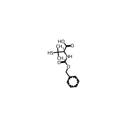 CC(C)(S)C(NC(=O)OCc1ccccc1)C(=O)O